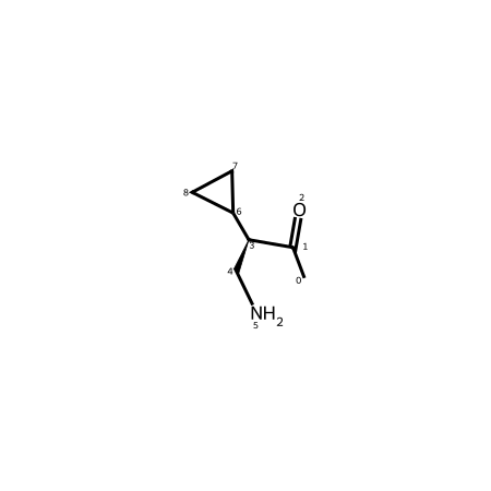 CC(=O)[C@@H](CN)C1CC1